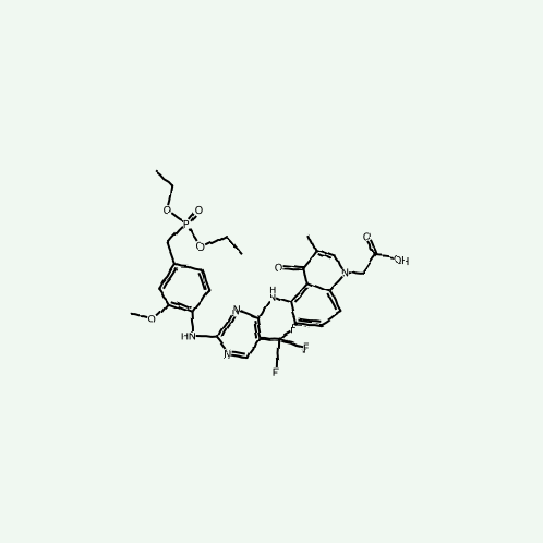 CCOP(=O)(Cc1ccc(Nc2ncc(C(F)(F)F)c(Nc3cccc4c3c(=O)c(C)cn4CC(=O)O)n2)c(OC)c1)OCC